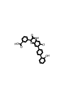 O=C(O)c1cccc(-c2nc3cc(-c4ccc(-c5ccccc5O)cc4)c(Cl)cc3[nH]c2=O)c1